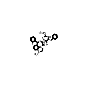 CN1CCN2C(=O)[C@@H](NC(=O)[C@H](Cc3ccccc3)NC(=O)OC(C)(C)C)N=C(c3ccccc3F)c3cccc1c32